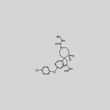 CC(C)(C)NC(=O)N1CCC(CC(=O)NO)(c2ccc(Oc3ccc(Cl)cc3)cc2)S(=O)(=O)CC1